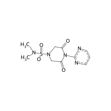 CN(C)S(=O)(=O)N1CC(=O)N(c2ncccn2)C(=O)C1